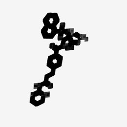 CC[C@](CNC(=O)c1ccc(CCC(=O)NC2=NCCCN2)cc1)(NS(=O)(=O)c1cccc2ccccc12)C(=O)O